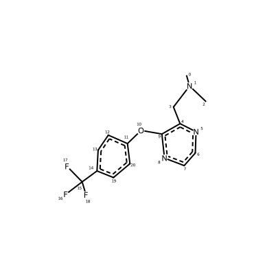 CN(C)Cc1nccnc1Oc1ccc(C(F)(F)F)cc1